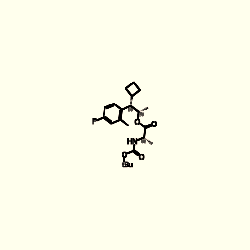 Cc1cc(F)ccc1[C@H](C1CCC1)[C@H](C)OC(=O)[C@H](C)NC(=O)OC(C)(C)C